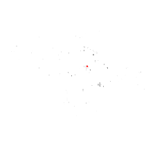 FC(F)(F)c1ccc(-n2c3ccccc3c3cc(-c4ccccc4)ccc32)c(-c2nc(-c3ccccc3)nc(-c3ccccc3)n2)c1